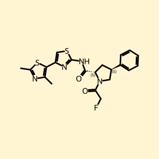 Cc1nc(C)c(-c2csc(NC(=O)[C@@H]3C[C@@H](c4ccccc4)CN3C(=O)CF)n2)s1